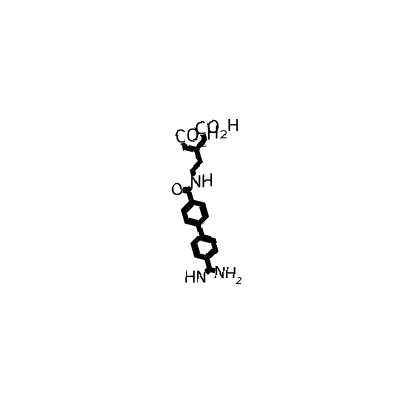 N=C(N)c1ccc(-c2ccc(C(=O)NCCC(CC(=O)O)CC(=O)O)cc2)cc1